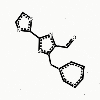 O=Cc1nc(-c2nccs2)sc1Cc1ccccc1